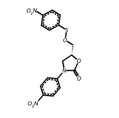 O=C1O[C@@H](COSc2ccc([N+](=O)[O-])cc2)CN1c1ccc([N+](=O)[O-])cc1